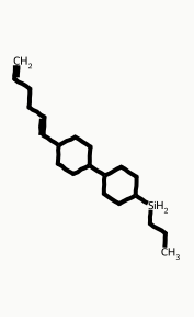 C=CCC/C=C/C1CCC(C2CCC([SiH2]CCC)CC2)CC1